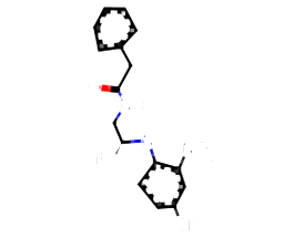 CC(C)[C@@H](CNC(=O)Cc1ccccc1)Nc1ccc(C(F)(F)F)cc1[N+](=O)[O-]